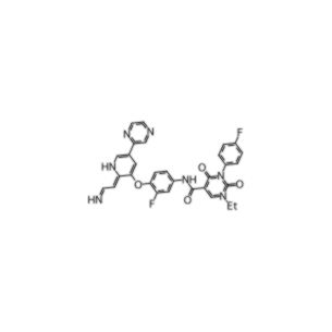 CCn1cc(C(=O)Nc2ccc(OC3=CC(c4cnccn4)=CN/C3=C\C=N)c(F)c2)c(=O)n(-c2ccc(F)cc2)c1=O